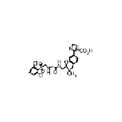 CN(Cc1ccc(C2=NCCN2C(=O)O)cc1)C(=O)CNC(=O)CNCS(=O)(=O)c1c(Cl)cccc1Cl